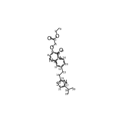 CCOC(=O)COc1cnc2cc(CCc3nc(C(C)C)cs3)ccn2c1=O